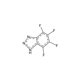 Fc1c(F)c(F)c2[nH]nnc2c1F